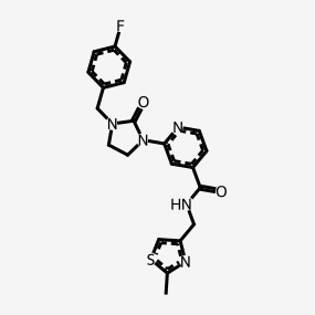 Cc1nc(CNC(=O)c2ccnc(N3CCN(Cc4ccc(F)cc4)C3=O)c2)cs1